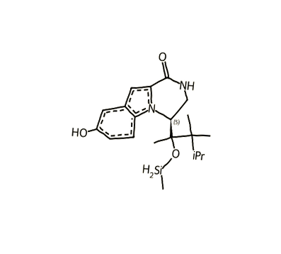 C[SiH2]OC(C)([C@@H]1CNC(=O)c2cc3cc(O)ccc3n21)C(C)(C)C(C)C